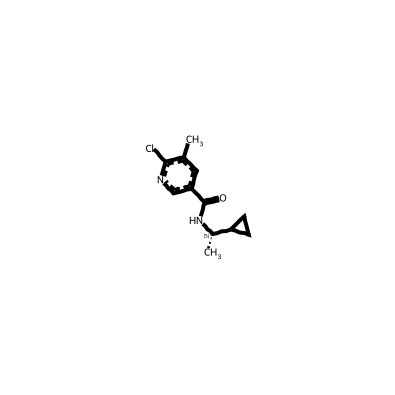 Cc1cc(C(=O)N[C@@H](C)C2CC2)cnc1Cl